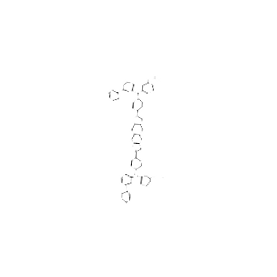 CC(C)(C)c1cccc(C(c2ccc(-c3cc4cc5cc6cc(-c7ccc(N(c8cccc(-c9ccccc9)c8)c8cccc(C(C)(C)C)c8)cc7)oc6cc5cc4o3)cc2)c2cccc(-c3ccccc3)c2)c1